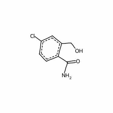 NC(=O)c1ccc(Cl)cc1CO